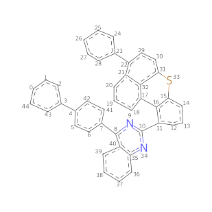 c1ccc(-c2ccc(-c3nc(-c4cccc5c4-c4cccc6c(-c7ccccc7)ccc(c46)S5)nc4ccccc34)cc2)cc1